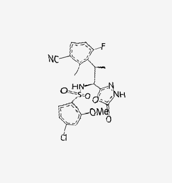 COc1cc(Cl)ccc1S(=O)(=O)N[C@H](c1n[nH]c(=O)o1)[C@H](C)c1c(F)ccc(C#N)c1C